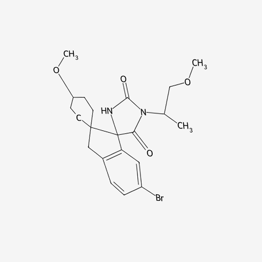 COCC(C)N1C(=O)NC2(C1=O)c1cc(Br)ccc1CC21CCC(OC)CC1